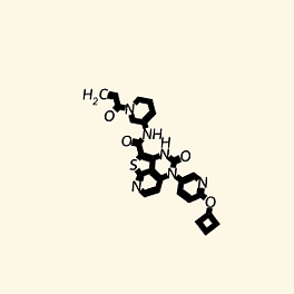 C=CC(=O)N1CCC=C(NC(=O)c2sc3nccc4c3c2NC(=O)N4c2ccc(OC3CCC3)nc2)C1